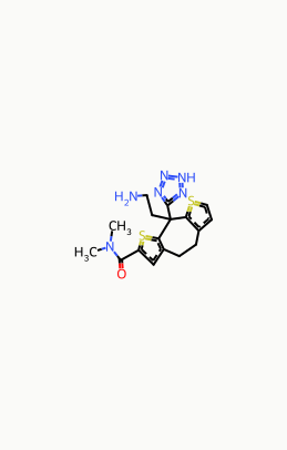 CN(C)C(=O)c1cc2c(s1)C(CCN)(c1nn[nH]n1)c1sccc1CC2